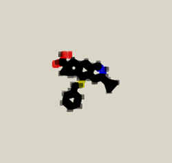 O=C(O)C12Cc3cc4cnc(C5CC5)cc4c(SCc4ccccc4)c3C1C2